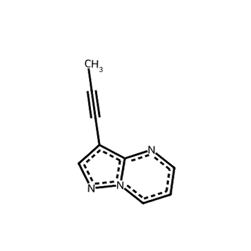 CC#Cc1cnn2cccnc12